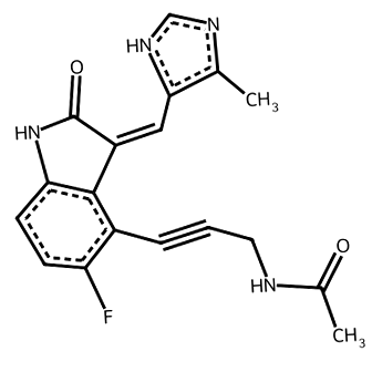 CC(=O)NCC#Cc1c(F)ccc2c1/C(=C/c1[nH]cnc1C)C(=O)N2